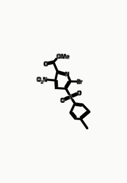 COC(=O)c1nc(Br)c(S(=O)(=O)c2ccc(C)cc2)cc1[N+](=O)[O-]